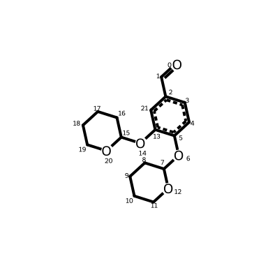 O=Cc1ccc(OC2CCCCO2)c(OC2CCCCO2)c1